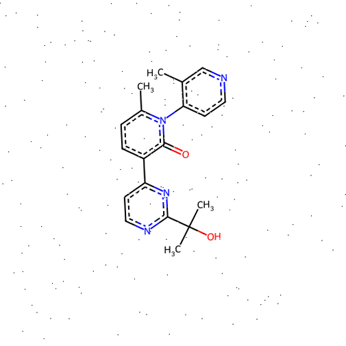 Cc1cnccc1-n1c(C)ccc(-c2ccnc(C(C)(C)O)n2)c1=O